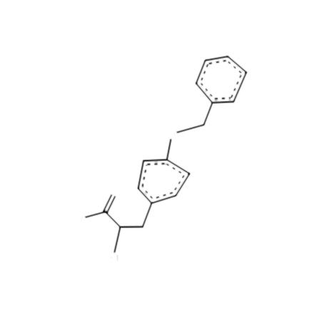 CCC(=O)C(C)Cc1ccc(OCc2ccccc2)cc1